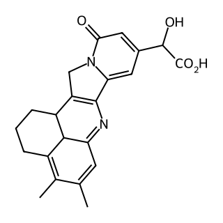 CC1=CC2=NC3=C(Cn4c3cc(C(O)C(=O)O)cc4=O)C3CCCC(=C1C)C23